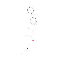 N[C@H](Cc1ccc(-c2cc(Cl)ccc2F)cc1)CC(O)C(=O)OCC(F)(F)C(F)(F)F